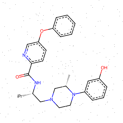 CC(C)[C@@H](CN1CCN(c2cccc(O)c2)[C@@H](C)C1)NC(=O)c1ccc(Oc2ccccc2)cn1